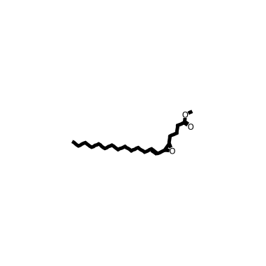 CCCCCCCCCCCCC=CC1OC1CCCC(=O)OC